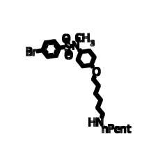 CCCCCNCCCCCCOC1CCC(N(C)S(=O)(=O)c2ccc(Br)cc2)CC1